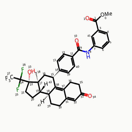 COC(=O)c1cccc(NC(=O)c2ccc([C@H]3C[C@@]4(C)[C@@H](CC[C@@]4(O)C(F)(F)C(F)(F)F)[C@@H]4CCC5=CC(=O)CCC5=C43)cc2)c1